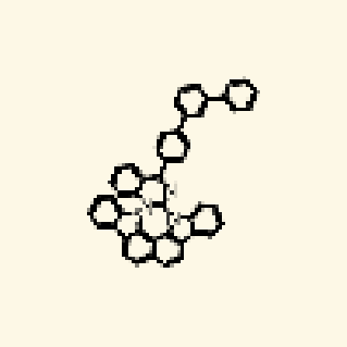 c1ccc(-c2cccc(-c3ccc(-c4nc(-n5c6ccccc6c6ccc7ccc8c9ccccc9sc8c7c65)nc5ccccc45)cc3)c2)cc1